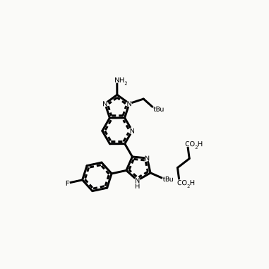 CC(C)(C)Cn1c(N)nc2ccc(-c3nc(C(C)(C)C)[nH]c3-c3ccc(F)cc3)nc21.O=C(O)CCC(=O)O